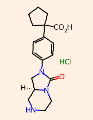 Cl.O=C1N(c2ccc(C3(C(=O)O)CCCC3)cc2)C[C@@H]2CNCCN12